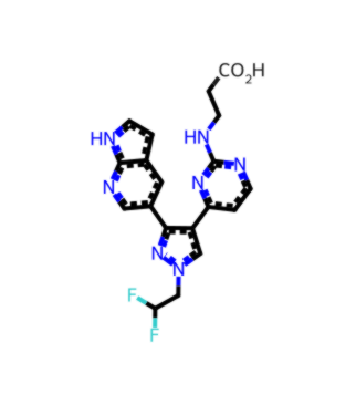 O=C(O)CCNc1nccc(-c2cn(CC(F)F)nc2-c2cnc3[nH]ccc3c2)n1